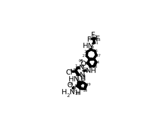 COc1c(Nc2ncc(Cl)c(N[C@H]3[C@@H](C(N)=O)[C@@H]4C=C[C@H]3C4)n2)ccc2c1CCC(NCC(F)(F)F)CC2